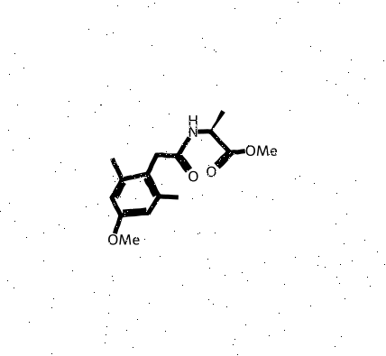 COC(=O)[C@H](C)NC(=O)Cc1c(C)cc(OC)cc1C